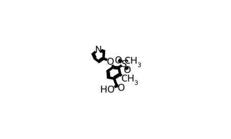 Cc1c(C(=O)O)ccc(Oc2cccnc2)c1S(C)(=O)=O